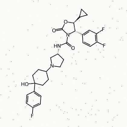 O=C(N[C@@H]1CCN(C2CCC(O)(c3ccc(F)cc3)CC2)C1)N1C(=O)O[C@@H](C2CC2)[C@@H]1c1ccc(F)c(F)c1